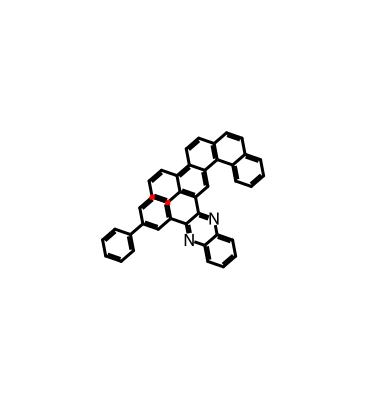 c1ccc(-c2cccc(-c3nc4ccccc4nc3-c3cc4c(ccc5ccc6ccccc6c54)c4ccccc34)c2)cc1